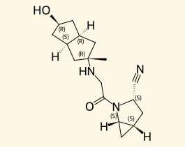 C[C@@]1(NCC(=O)N2[C@H](C#N)C[C@@H]3C[C@@H]32)C[C@H]2C[C@@H](O)C[C@H]2C1